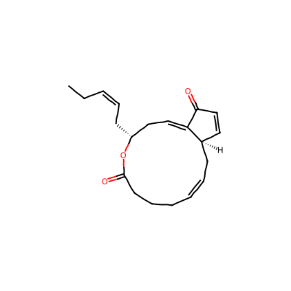 CC/C=C\C[C@@H]1C/C=C2/C(=O)C=C[C@H]2C/C=C\CCCC(=O)O1